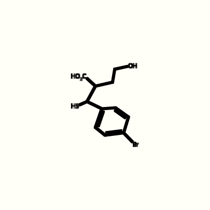 O=C(O)C(CCO)C(S)c1ccc(Br)cc1